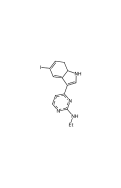 CCNc1nccc(C2=CNC3CC=C(I)C=C23)n1